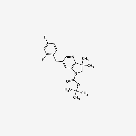 CC(C)(C)OC(=O)N1CC(C)(C)c2ncc(Cc3ccc(F)cc3F)cc21